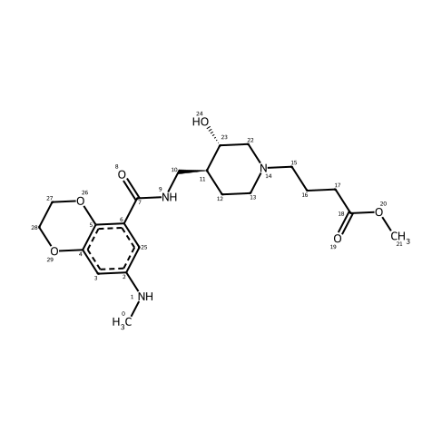 CNc1cc2c(c(C(=O)NC[C@@H]3CCN(CCCC(=O)OC)C[C@H]3O)c1)OCCO2